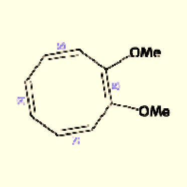 COC1=C(OC)/C=C\C=C/C=C\1